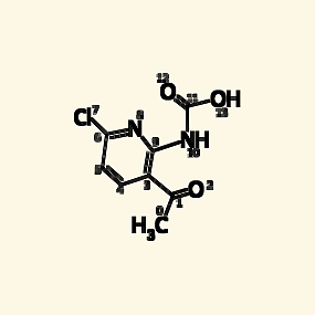 CC(=O)c1ccc(Cl)nc1NC(=O)O